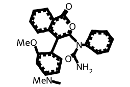 CNC.COc1ccccc1-c1c(N(C(N)=O)c2ccccc2)oc(=O)c2ccccc12